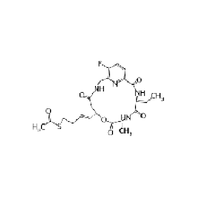 C/C=C1\NC(=O)c2ccc(F)c(n2)CNC(=O)C[C@@H](/C=C/CCSC(C)=O)OC(=O)[C@@H](C)NC1=O